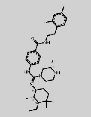 CC[C@H]1[C@H](C)[C@@H](/N=C(/Nc2ccc(C(=O)NCCc3ccc(C)cc3F)cc2)N2CCN[C@@H](C)C2)CCC1(C)C